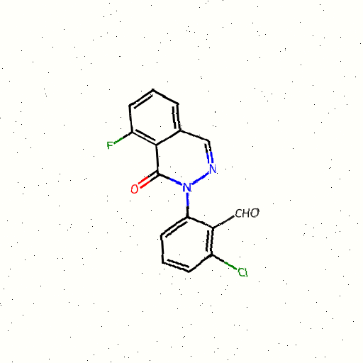 O=Cc1c(Cl)cccc1-n1ncc2cccc(F)c2c1=O